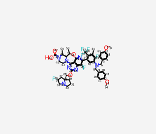 COc1ccc(CN(Cc2ccc(OC)cc2)c2cc(-c3nc4c5c(nc(OC[C@@]67CCCN6C[C@H](F)C7)nc5c3F)N3CCN(C(=O)O)C(C)C3C(C)O4)c(C(F)(F)F)c(C)c2F)cc1